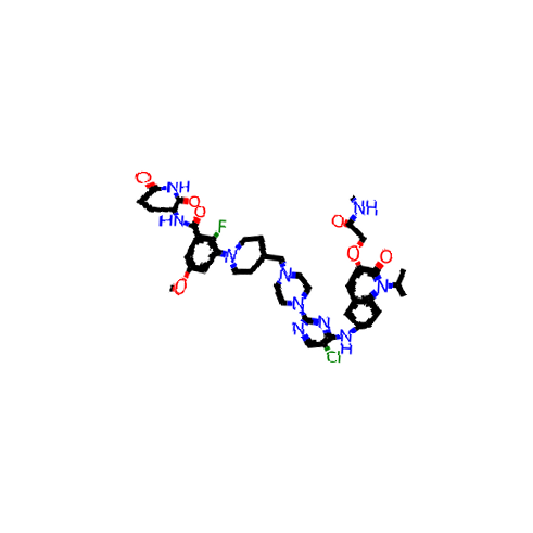 CNC(=O)COc1cc2cc(Nc3nc(N4CCN(CC5CCN(c6cc(OC)cc(C(=O)NC7CCC(=O)NC7=O)c6F)CC5)CC4)ncc3Cl)ccc2n(C(C)C)c1=O